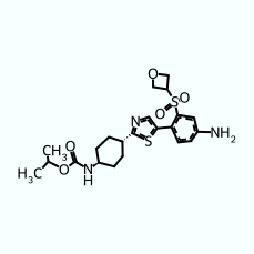 CC(C)OC(=O)N[C@H]1CC[C@H](c2ncc(-c3ccc(N)cc3S(=O)(=O)C3COC3)s2)CC1